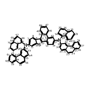 c1ccc2c(N(c3ccc4c(c3)sc3c5ccc(N(c6ccc7ccc8ccccc8c7c6)c6cccc7ccccc67)cc5c5ccccc5c43)c3ccc4ccc5ccccc5c4c3)cccc2c1